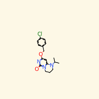 CC(C)N1CCCn2c1cc(OCc1ccc(Cl)cc1)nc2=O